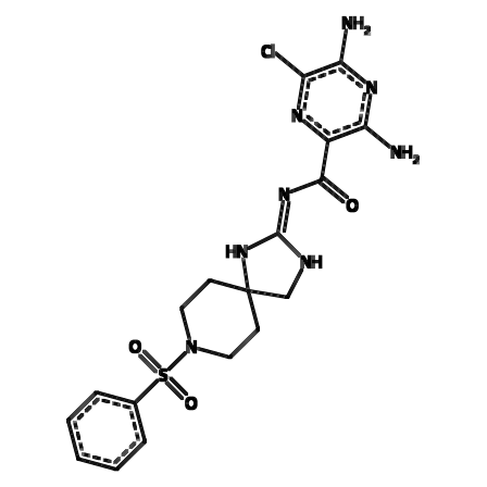 Nc1nc(N)c(C(=O)/N=C2\NCC3(CCN(S(=O)(=O)c4ccccc4)CC3)N2)nc1Cl